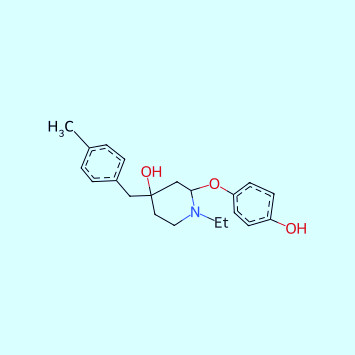 CCN1CCC(O)(Cc2ccc(C)cc2)CC1Oc1ccc(O)cc1